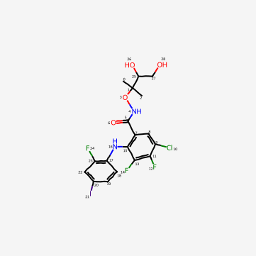 CC(C)(ONC(=O)c1cc(Cl)c(F)c(F)c1Nc1ccc(I)cc1F)C(O)CO